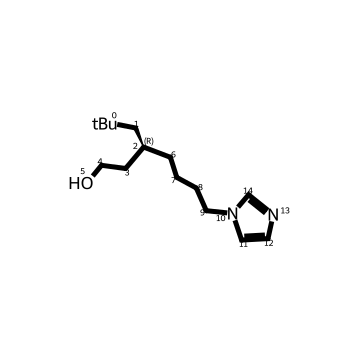 CC(C)(C)C[C@H](CCO)CCCCn1ccnc1